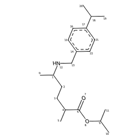 CC(CCC(C)C(=O)OC(C)C)NCc1ccc(C(C)C)cc1